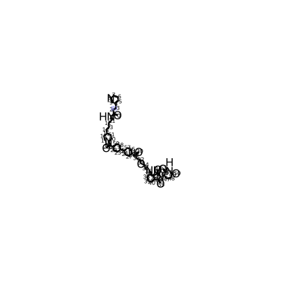 O=C(/C=C/c1cccnc1)NCCCCC1CCN(C(=O)c2ccc(C3CCN(C(=O)CCOCCNc4cccc5c4C(=O)N(C4CCC(=O)NC4=O)C5=O)CC3)cc2)CC1